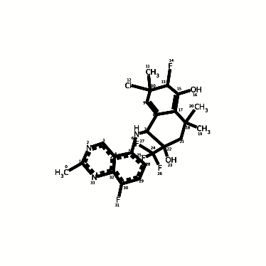 Cc1ncc2c(NC3C4=CC(C)(Cl)C(F)C(O)=C4C(C)(C)CC3(O)C(F)(F)F)ccc(F)c2n1